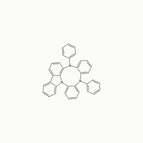 c1ccc(N2c3ccccc3N(c3ccccc3)c3cccc4c5ccccc5n(c34)-c3ccccc32)cc1